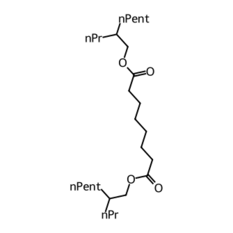 CCCCCC(CCC)COC(=O)CCCCCCC(=O)OCC(CCC)CCCCC